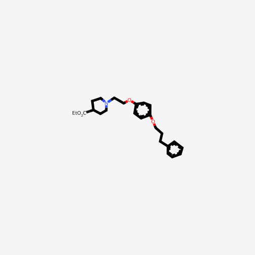 CCOC(=O)C1CCN(CCOc2ccc(OCCCc3ccccc3)cc2)CC1